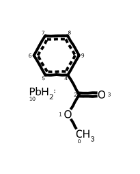 COC(=O)c1ccccc1.[PbH2]